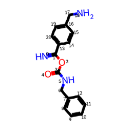 N=C(OC(=O)NCc1ccccc1)c1ccc(CN)cc1